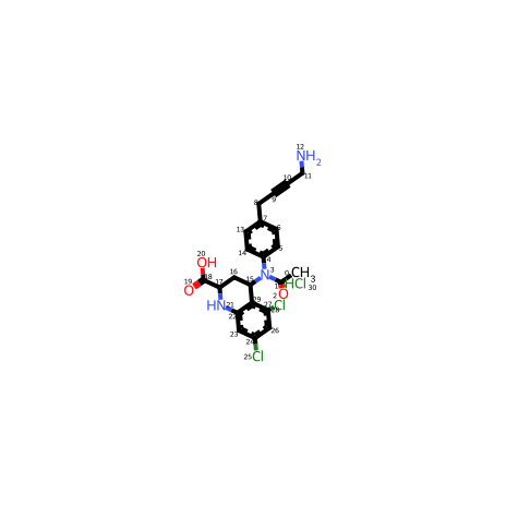 CC(=O)N(c1ccc(CC#CCN)cc1)C1CC(C(=O)O)Nc2cc(Cl)cc(Cl)c21.Cl